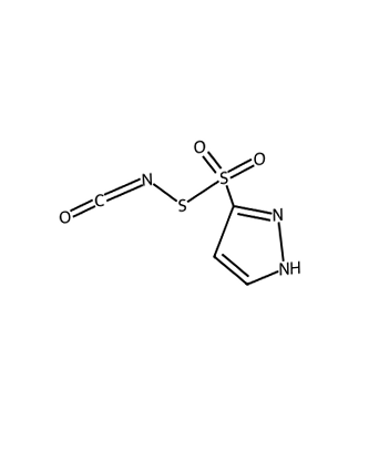 O=C=NSS(=O)(=O)c1cc[nH]n1